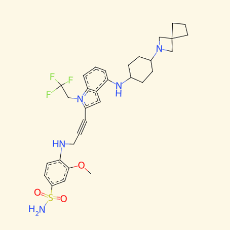 COc1cc(S(N)(=O)=O)ccc1NCC#Cc1cc2c(NC3CCC(N4CC5(CCC5)C4)CC3)cccc2n1CC(F)(F)F